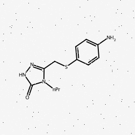 CCCn1c(CSc2ccc(N)cc2)n[nH]c1=O